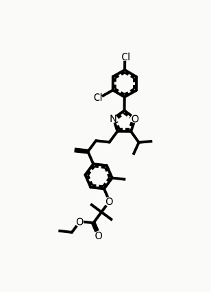 C=C(CCc1nc(-c2ccc(Cl)cc2Cl)oc1C(C)C)c1ccc(OC(C)(C)C(=O)OCC)c(C)c1